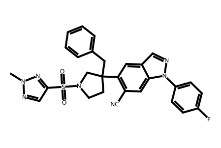 Cn1ncc(S(=O)(=O)N2CCC(Cc3ccccc3)(c3cc4cnn(-c5ccc(F)cc5)c4cc3C#N)C2)n1